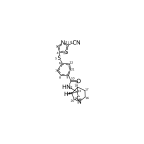 N#Cc1ncc(Sc2ccc(C(=O)N[C@H]3CN4CCC3CC4)cc2)s1